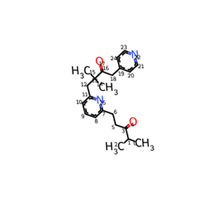 CC(C)C(=O)CCc1cccc(CC(C)(C)C(=O)Cc2ccncc2)n1